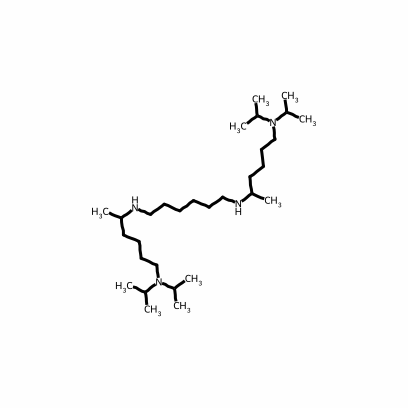 CC(CCCCN(C(C)C)C(C)C)NCCCCCCNC(C)CCCCN(C(C)C)C(C)C